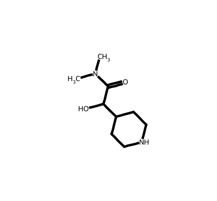 CN(C)C(=O)C(O)C1CCNCC1